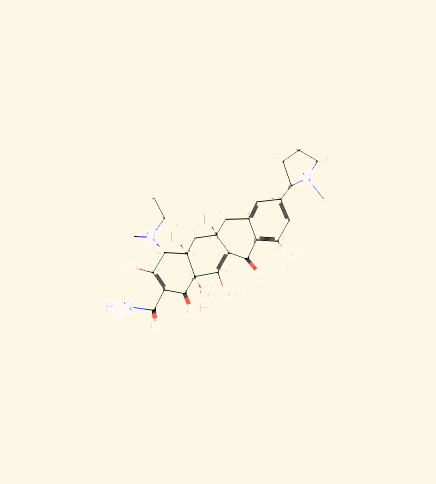 CCN(C)[C@@H]1C(O)=C(C(N)=O)C(=O)[C@@]2(O)C(O)=C3C(=O)c4c(O)cc(C5CCCN5C)cc4C[C@H]3C[C@@H]12